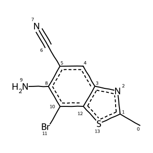 Cc1nc2cc(C#N)c(N)c(Br)c2s1